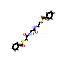 O=C(CNC(=O)CSC(=O)c1ccccc1)NCCSC(=O)c1ccccc1